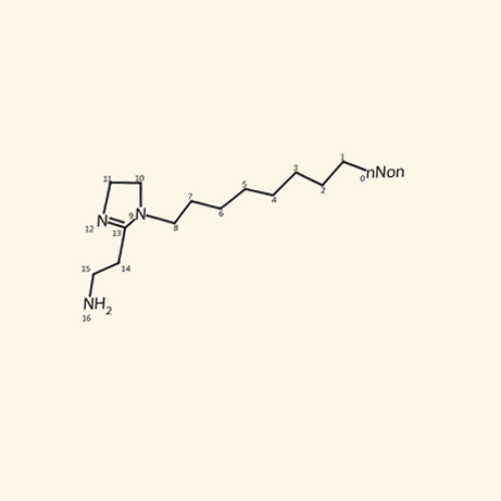 CCCCCCCCCCCCCCCCCN1CCN=C1CCN